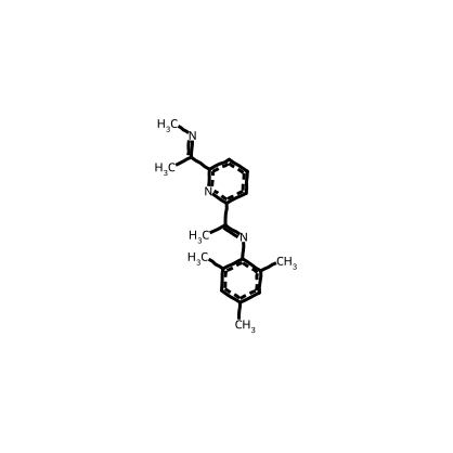 C/N=C(\C)c1cccc(/C(C)=N/c2c(C)cc(C)cc2C)n1